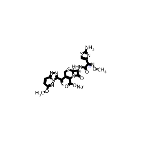 CO/N=C(\C(=O)N[C@@H]1C(=O)N2C(C(=O)[O-])=C(C(=S)c3nnc4ccc(OC)nn34)CS[C@@H]12)c1csc(N)n1.[Na+]